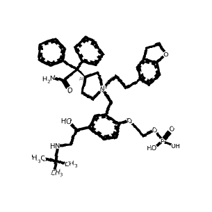 CC(C)(C)NCC(O)c1ccc(OCOP(=O)(O)O)c(C[N+]2(CCc3ccc4c(c3)CCO4)CC[C@@H](C(C(N)=O)(c3ccccc3)c3ccccc3)C2)c1